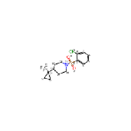 O=S(=O)(c1ccccc1Cl)N1CCC(C2(C(F)(F)F)CC2)CC1